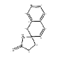 O=C1CCC2(C=Cc3ccccc3C2)O1